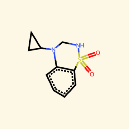 O=S1(=O)NCN(C2CC2)c2ccccc21